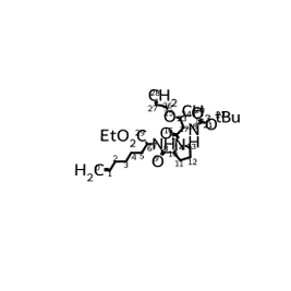 C=CCCCC[C@H](NC(=O)[C@@H]1CCCN1C(=O)[C@@H](NC(=O)OC(C)(C)C)[C@H](C)OCC=C)C(=O)OCC